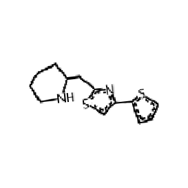 c1csc(-c2csc(CC3CCCCN3)n2)c1